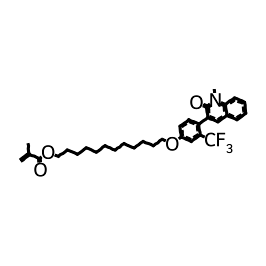 C=C(C)C(=O)OCCCCCCCCCCCCOc1ccc(-c2cc3ccccc3n(C)c2=O)c(C(F)(F)F)c1